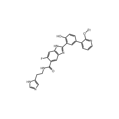 CCOc1ncccc1-c1ccc(O)c(-c2nc3cc(C(=O)NCCc4cnc[nH]4)c(F)cc3[nH]2)c1